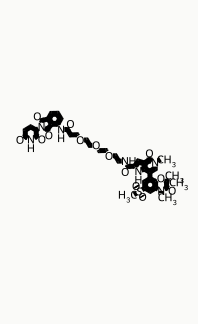 CN1C(=O)C(C)(C)Oc2c(-c3cn(C)c(=O)c4cc(C(=O)NCCOCCOCCOCCC(=O)Nc5cccc6c5C(=O)N(C5CCC(=O)NC5=O)C6=O)[nH]c34)cc(S(C)(=O)=O)cc21